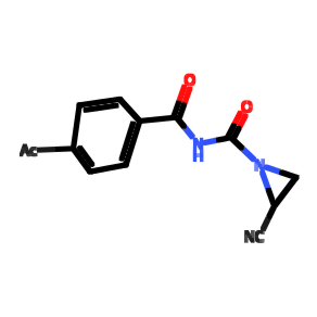 CC(=O)c1ccc(C(=O)NC(=O)N2CC2C#N)cc1